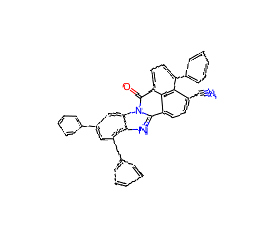 N#Cc1ccc2c3c1c(-c1ccccc1)ccc3c(=O)n1c3cc(-c4ccccc4)cc(-c4ccccc4)c3nc21